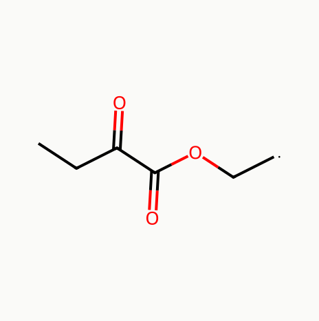 [CH2]COC(=O)C(=O)CC